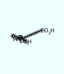 C[C@H](NC(=O)OCc1ccccc1)C(=O)N(CCO)CCCCCCCCCCCCCCCC(=O)O